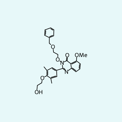 COc1cccc2nc(-c3cc(C)c(OCCO)c(C)c3)n(OCCOCc3ccccc3)c(=O)c12